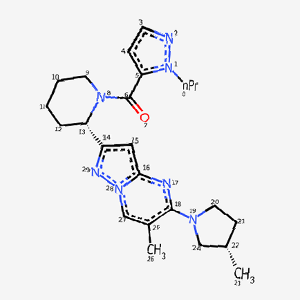 CCCn1nccc1C(=O)N1CCCC[C@H]1c1cc2nc(N3CC[C@H](C)C3)c(C)cn2n1